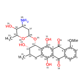 COc1cccc2c1C(=O)c1c(O)c3c(c(O)c1C2=O)CC(C)[C@H](O)[C@@H]3OC1CC(N)C(O)C(C)O1